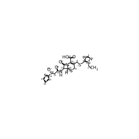 CCn1ncnc1SCC1=C(C(=O)O)N2C(=O)C(NC(=O)C[S+]([O-])c3cccs3)[C@H]2SC1